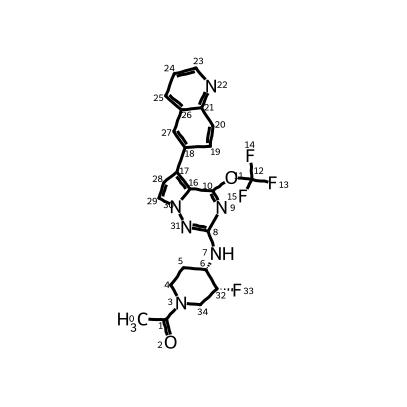 CC(=O)N1CC[C@H](Nc2nc(OC(F)(F)F)c3c(-c4ccc5ncccc5c4)ccn3n2)[C@H](F)C1